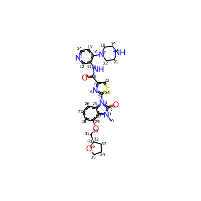 Cn1c(=O)n(-c2nc(C(=O)Nc3cnccc3N3CCNCC3)cs2)c2cccc(OC[C@H]3CCCO3)c21